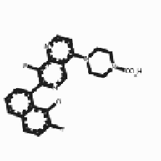 O=C(O)N1CCN(c2ccnc3c(F)c(-c4cccc5ccc(F)c(Cl)c45)ncc23)CC1